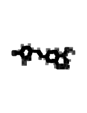 COc1cc(/C=C/c2ccc(=O)[nH]n2)ccc1[S+](C)[O-]